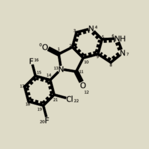 O=C1c2cnc3[nH]ncc3c2C(=O)N1c1c(F)ccc(F)c1Cl